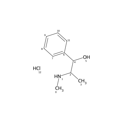 CNC(C)C(O)c1ccccc1.Cl